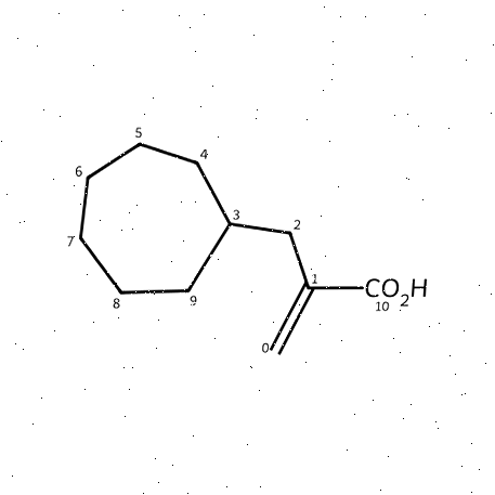 C=C(CC1CCCCCC1)C(=O)O